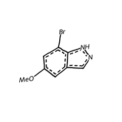 COc1cc(Br)c2[nH]ncc2c1